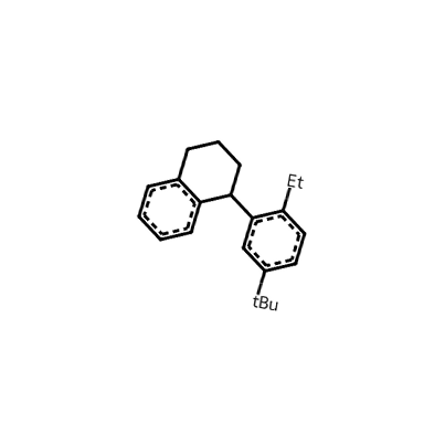 CCc1ccc(C(C)(C)C)cc1C1CCCc2ccccc21